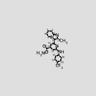 Cc1nc2ccccn2c1-c1cc(C(=O)ON)cc(Nc2ccc(C(F)(F)F)cc2)n1